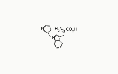 N[C@@H](Cc1cn(Cc2cccnc2)c2ccccc12)C(=O)O